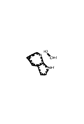 OO.c1cnc2[nH]ccc2c1